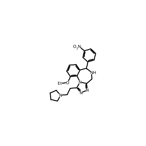 CCOc1cccc2c1-n1c(CCN3CCCC3)nnc1CNC2c1cccc([N+](=O)[O-])c1